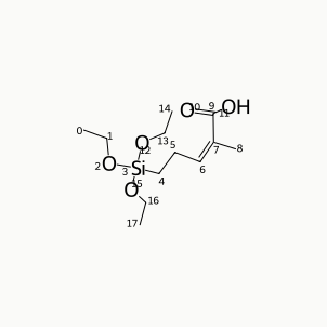 CCO[Si](CCC=C(C)C(=O)O)(OCC)OCC